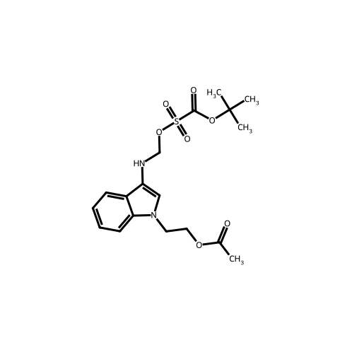 CC(=O)OCCn1cc(NCOS(=O)(=O)C(=O)OC(C)(C)C)c2ccccc21